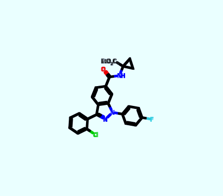 CCOC(=O)C1(NC(=O)c2ccc3c(-c4ccccc4Cl)nn(-c4ccc(F)cc4)c3c2)CC1